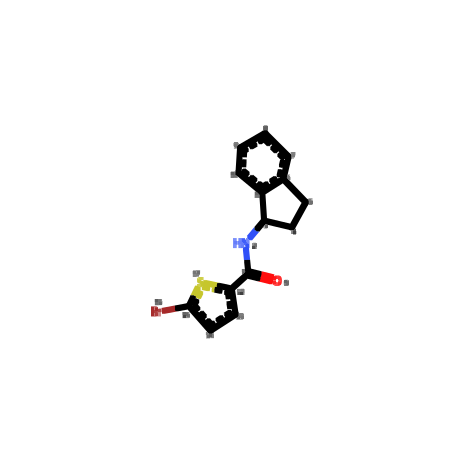 O=C(NC1CCc2ccccc21)c1ccc(Br)s1